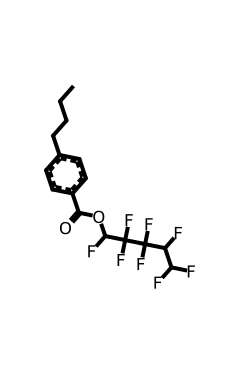 CCCCc1ccc(C(=O)OC(F)C(F)(F)C(F)(F)C(F)C(F)F)cc1